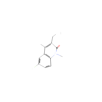 CCc1c(C)c2cc(F)ccc2n(C)c1=O